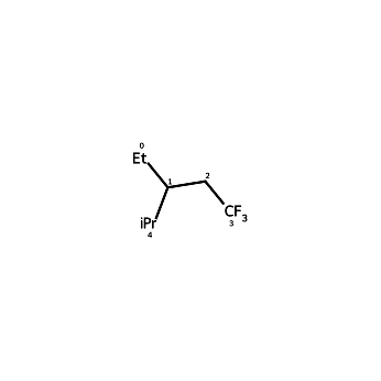 CCC(CC(F)(F)F)C(C)C